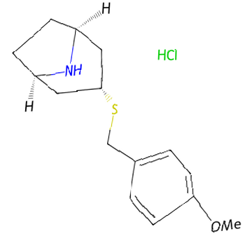 COc1ccc(CS[C@@H]2C[C@H]3CC[C@@H](C2)N3)cc1.Cl